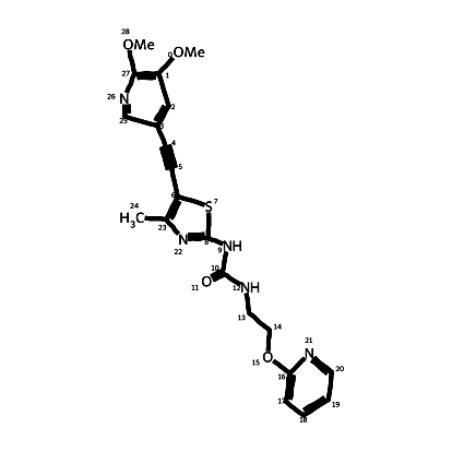 COc1cc(C#Cc2sc(NC(=O)NCCOc3ccccn3)nc2C)cnc1OC